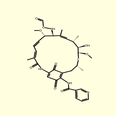 CO[C@H]1/C=C\C=C(/C)C(=O)NC2=CC(=O)C(NC(=O)c3cccnc3)=C(C[C@@H](C)C[C@H](OC)[C@H](O)[C@@H](C)/C=C(\C)[C@@H]1NOC=O)C2=O